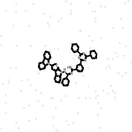 N=C(/N=C(\Nn1c2ccccc2c2cc(-n3c4ccccc4c4ccccc43)ccc21)c1ccccc1)c1cccc(-c2nc(-c3ccccc3)nc(-c3ccccc3)n2)c1